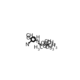 COc1ccc(NC[C@@H](C)O[Si](C)(C)C(C)(C)C)cc1C#N